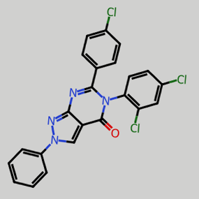 O=c1c2cn(-c3ccccc3)nc2nc(-c2ccc(Cl)cc2)n1-c1ccc(Cl)cc1Cl